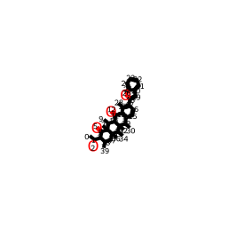 CC(=O)C1C(=O)C2(C)C(C)C3C(=O)c4c(ccc(-c5cc6ccccc6o5)c4C)C(C)C3(C)C(C)C2(C)CC1C